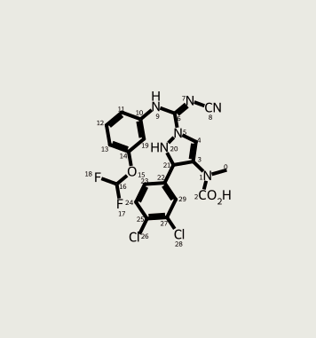 CN(C(=O)O)C1=CN(C(=NC#N)Nc2cccc(OC(F)F)c2)NC1c1ccc(Cl)c(Cl)c1